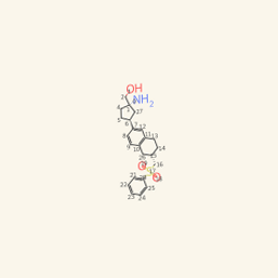 N[C@@]1(CO)CC[C@H](c2ccc3c(c2)CC[C@H](CS(=O)(=O)c2ccccc2)C3)C1